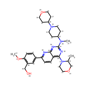 COc1ccc(-c2ccc3c(N4CCOCC4C)nc(N(C)C4CCN(C5CCOCC5)CC4)nc3n2)cc1CO